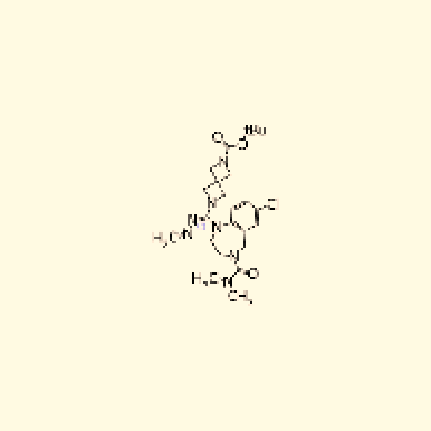 C=N/N=C(/N1CC2(CN(C(=O)OC(C)(C)C)C2)C1)N1CCN(C(=O)N(C)C)Cc2cc(Cl)ccc21